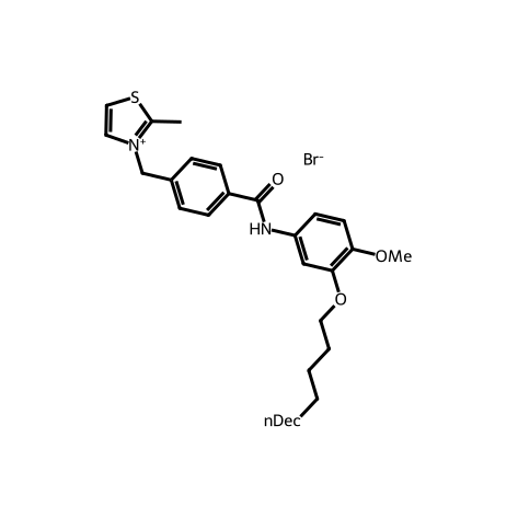 CCCCCCCCCCCCCCOc1cc(NC(=O)c2ccc(C[n+]3ccsc3C)cc2)ccc1OC.[Br-]